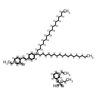 CCCCCCCCCCCCCCCCCCN(CCCCCCCCCCCCCCCCCC)c1ccc(/C=C/c2cc[n+](CC)cc2Br)cc1.CCOS(=O)(=O)O.CC[n+]1ccccc1